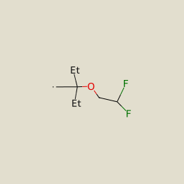 [CH2]C(CC)(CC)OCC(F)F